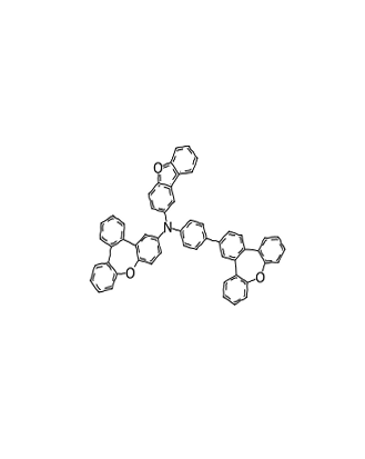 c1ccc2c(c1)Oc1ccc(N(c3ccc(-c4ccc5c(c4)-c4ccccc4Oc4ccccc4-5)cc3)c3ccc4oc5ccccc5c4c3)cc1-c1ccccc1-2